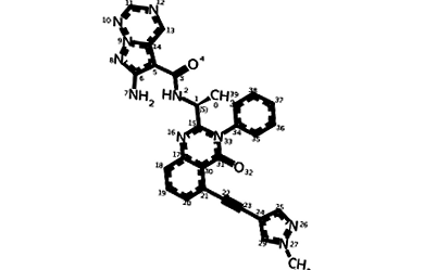 C[C@H](NC(=O)c1c(N)nn2ncncc12)c1nc2cccc(C#Cc3cnn(C)c3)c2c(=O)n1-c1ccccc1